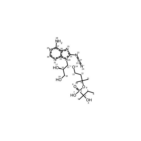 CCC(C)(O)P(=O)(O)OC(C)(C)CCO[C@H]([C@H](O)CO)n1c(N=[N+]=[N-])nc2c(N)ncnc21